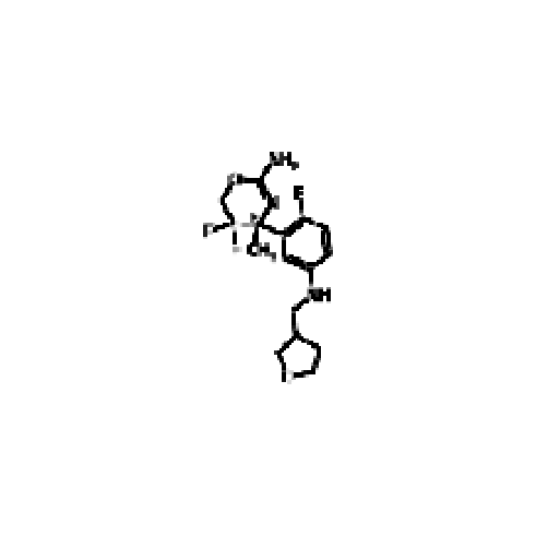 C[C@]1(c2cc(NCC3CCOC3)ccc2F)N=C(N)OCC1(F)F